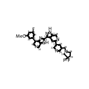 COc1cc(F)cc(-c2cncc3[nH]c(-c4n[nH]c5cnc(-c6cncc(CN7CCC(F)(F)C7)c6)cc45)nc23)c1